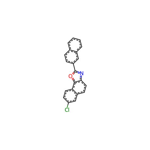 Clc1ccc2c(ccc3nc(-c4ccc5ccccc5c4)oc32)c1